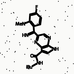 CCC(C)NC(=O)c1c[nH]c2ncc(C(=N)c3ccc(F)cc3NC)nc12